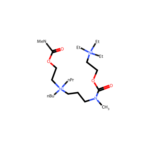 CCCC[N+](CCC)(CCCN(C)C(=O)OCC[N+](CC)(CC)CC)CCOC(=O)NC